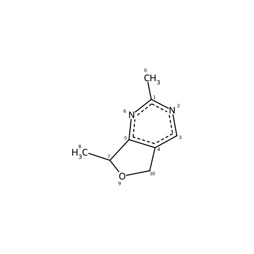 Cc1ncc2c(n1)C(C)OC2